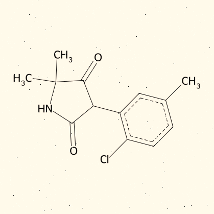 Cc1ccc(Cl)c(C2C(=O)NC(C)(C)C2=O)c1